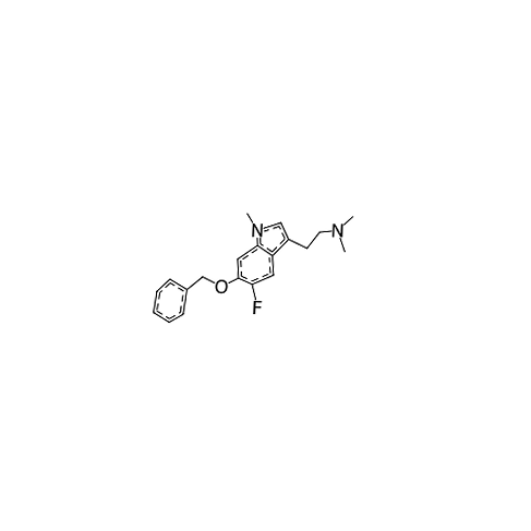 CN(C)CCc1cn(C)c2cc(OCc3ccccc3)c(F)cc12